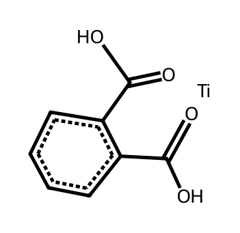 O=C(O)c1ccccc1C(=O)O.[Ti]